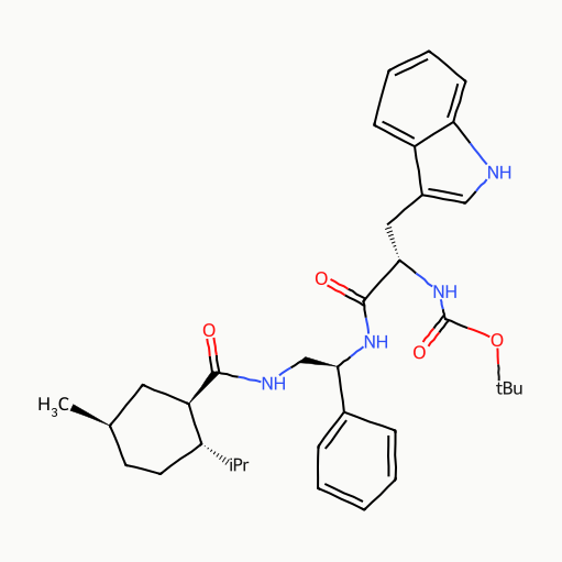 CC(C)[C@@H]1CC[C@@H](C)C[C@H]1C(=O)NC[C@@H](NC(=O)[C@H](Cc1c[nH]c2ccccc12)NC(=O)OC(C)(C)C)c1ccccc1